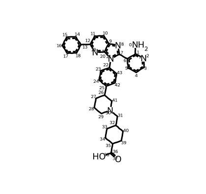 Nc1ncccc1-c1nc2ccc(-c3ccccc3)nc2n1-c1ccc(C2CCCN(CC3CCC(C(=O)O)CC3)C2)cc1